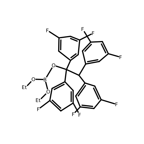 CCOB(OCC)OC(c1cc(F)cc(F)c1)(c1cc(F)cc(F)c1)C(c1cc(F)cc(F)c1)c1cc(F)cc(F)c1